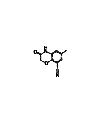 Cc1cc(C#N)c2c(c1)NC(=O)CO2